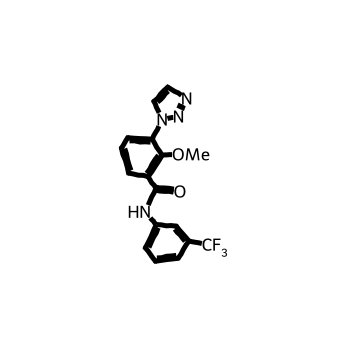 COc1c(C(=O)Nc2cccc(C(F)(F)F)c2)cccc1-n1ccnn1